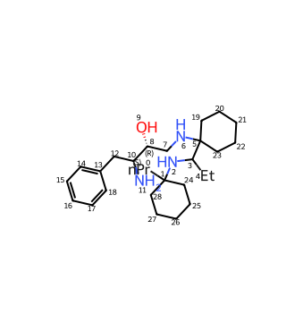 CCCC1(NC(CC)C2(NC[C@@H](O)[C@@H](N)Cc3ccccc3)CCCCC2)CCCCC1